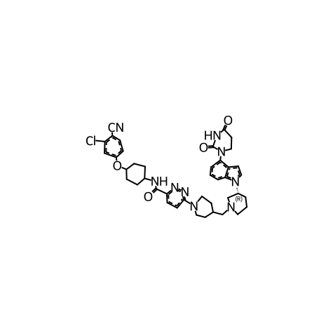 N#Cc1ccc(OC2CCC(NC(=O)c3ccc(N4CCC(CN5CCC[C@@H](n6ccc7c(N8CCC(=O)NC8=O)cccc76)C5)CC4)nn3)CC2)cc1Cl